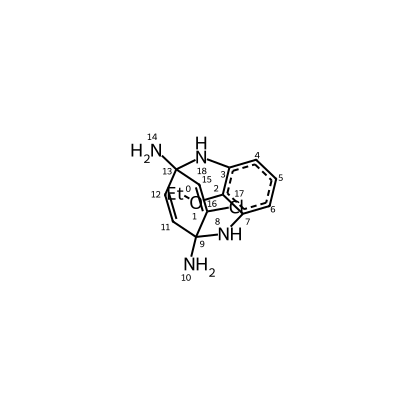 CCOc1c2cccc1NC1(N)C=CC(N)(C=C1Cl)N2